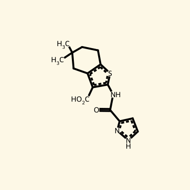 CC1(C)CCc2sc(NC(=O)c3cc[nH]n3)c(C(=O)O)c2C1